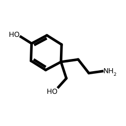 NCCC1(CO)C=CC(O)=CC1